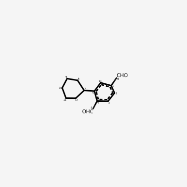 O=Cc1ccc(C=O)c(C2CCCCC2)c1